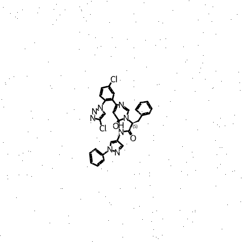 O=C(Nc1cnn(-c2ccccc2)c1)[C@H](Cc1ccccc1)n1cnc(-c2cc(Cl)ccc2-n2cc(Cl)nn2)cc1=O